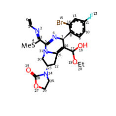 C=C/N=C(\SC)C1=N[C@@H](c2ccc(F)cc2Br)C(C(O)OCC)=C2C[C@H](N3CCOC3=O)CN12